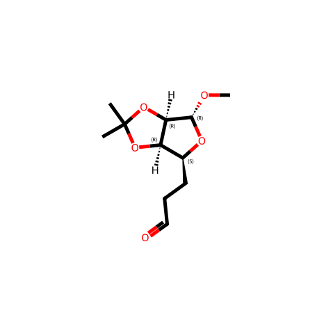 CO[C@@H]1O[C@@H](CCC=O)[C@H]2OC(C)(C)O[C@@H]12